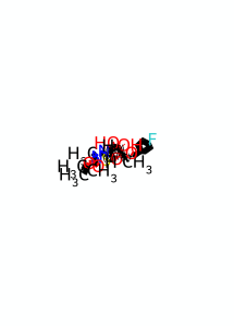 C[C@H](OCc1ccc(F)cc1)[C@H]1O[C@@H]2SC(N(C)C(=O)OC(C)(C)C)=N[C@@H]2[C@@H](O)[C@@H]1O